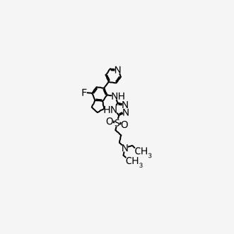 CCN(CC)CCCS(=O)(=O)c1nnc(Nc2c(-c3ccncc3)cc(F)c3c2CCC3)[nH]1